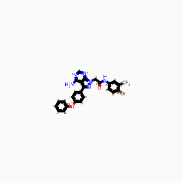 Nc1ncnc2c1c(-c1ccc(Oc3ccccc3)cc1)nn2CC(=O)Nc1ccc(Br)c(C(F)(F)F)c1